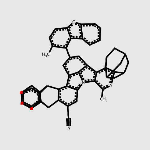 Cc1ccc2oc3ccccc3c2c1-c1cc2c3c4c(c(C#N)cc3n3c5c(C)nc6c(c5c(c1)c23)C1CC2CC(CC6C2)C1)C1c2ccccc2C4c2ccccc21